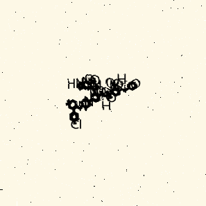 CC1(C)CCC(CN2CCN(c3ccc(C(=O)NS(=O)(=O)c4ccc(NCC5CCOCC5)c([N+](=O)[O-])c4)c(N4C=NS(=O)(=O)c5nc6[nH]ccc6cc54)c3)CC2)=C(c2ccc(Cl)cc2)C1